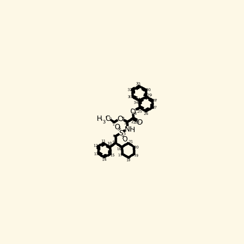 CCOC(NS(=O)(=O)CC(c1ccccc1)C1CCCCC1)C(=O)Oc1cccc2ccccc12